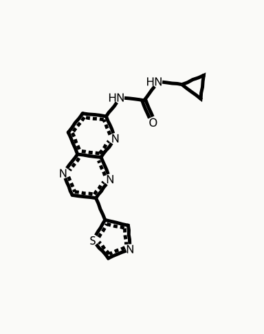 O=C(Nc1ccc2ncc(-c3cncs3)nc2n1)NC1CC1